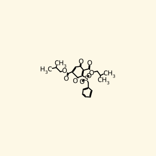 CC(C)COC(=O)C1=CC(=O)C(C(=O)OCC(C)C)=C(S(=O)(=O)Cc2ccccc2)C1=O